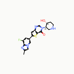 Cc1cn2cc(-c3cc4ncn([C@@H]5CNCC[C@H]5O)c(=O)c4s3)cc(F)c2n1